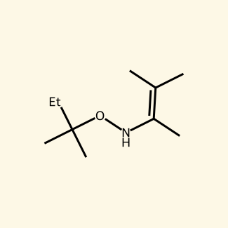 CCC(C)(C)ONC(C)=C(C)C